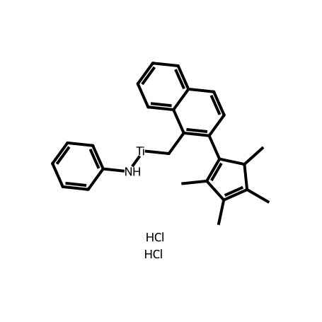 CC1=C(C)C(C)C(c2ccc3ccccc3c2[CH2][Ti][NH]c2ccccc2)=C1C.Cl.Cl